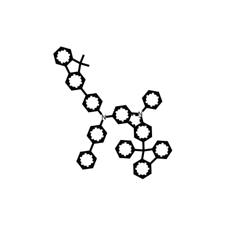 CC1(C)c2ccccc2-c2ccc(-c3ccc(N(c4ccc(-c5ccccc5)cc4)c4ccc5c(c4)c4cc(C6(c7ccccc7)c7ccccc7-c7ccccc76)ccc4n5-c4ccccc4)cc3)cc21